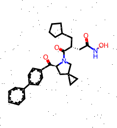 O=C(C[C@@H](CC1CCCC1)C(=O)N1CC2(CC2)C[C@H]1C(=O)c1ccc(-c2ccccc2)cc1)NO